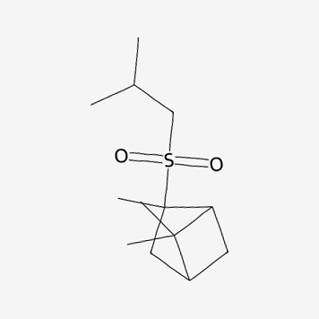 CC(C)CS(=O)(=O)C1(C)CC2CC1C2(C)C